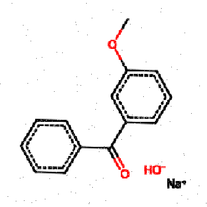 COc1cccc(C(=O)c2ccccc2)c1.[Na+].[OH-]